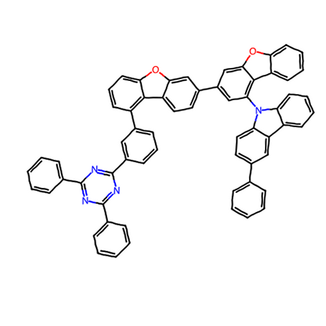 c1ccc(-c2ccc3c(c2)c2ccccc2n3-c2cc(-c3ccc4c(c3)oc3cccc(-c5cccc(-c6nc(-c7ccccc7)nc(-c7ccccc7)n6)c5)c34)cc3oc4ccccc4c23)cc1